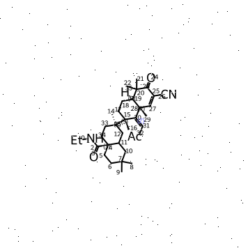 CCNC(=O)[C@]12CCC(C)(C)CC1C[C@](C)([C@]1(C)CC[C@H]3C(C)(C)C(=O)C(C#N)=C[C@]3(C)/C1=C/C(C)=O)CC2